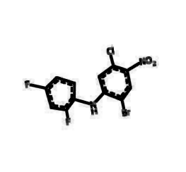 O=[N+]([O-])c1cc(Br)c(Nc2ccc(F)cc2F)cc1Cl